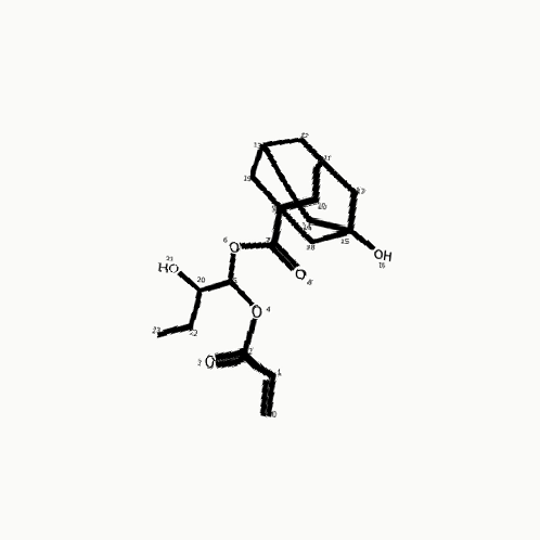 C=CC(=O)OC(OC(=O)C12CC3CC(CC(O)(C3)C1)C2)C(O)CC